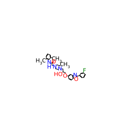 Cc1cccc(C)c1NC(=O)CN1CCN(CC(O)COc2ccc3oc(-c4cccc(F)c4)nc3c2)C(C)C1